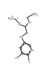 CCOC(COc1cnc(F)c(F)c1)OCC